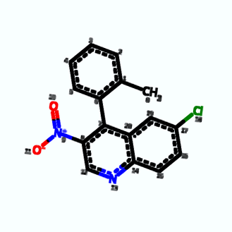 Cc1ccccc1-c1c([N+](=O)[O-])cnc2ccc(Cl)cc12